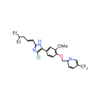 CCC(CC)C/C=C/c1nc(Cl)c(-c2ccc(OCc3ccc(C(F)(F)F)cn3)c(OC)c2)[nH]1